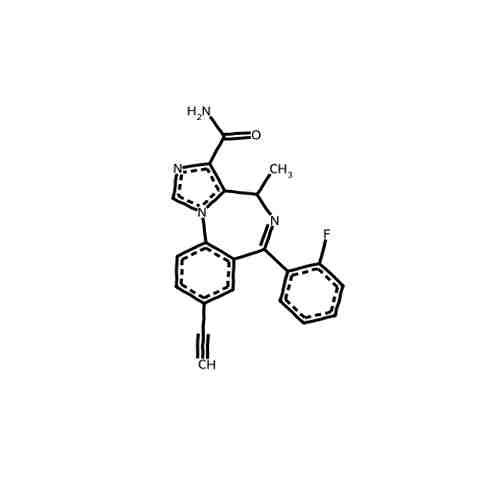 C#Cc1ccc2c(c1)C(c1ccccc1F)=NC(C)c1c(C(N)=O)ncn1-2